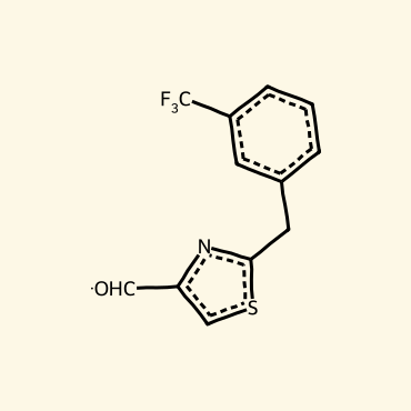 O=[C]c1csc(Cc2cccc(C(F)(F)F)c2)n1